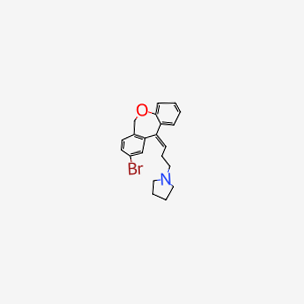 Brc1ccc2c(c1)C(=CCCN1CCCC1)c1ccccc1OC2